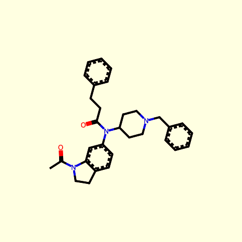 CC(=O)N1CCc2ccc(N(C(=O)CCc3ccccc3)C3CCN(Cc4ccccc4)CC3)cc21